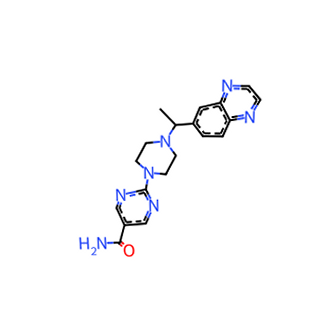 CC(c1ccc2nccnc2c1)N1CCN(c2ncc(C(N)=O)cn2)CC1